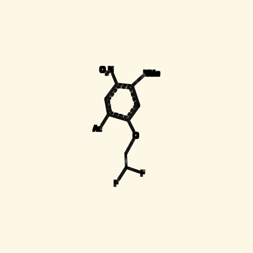 CNc1cc(OCC(F)F)c(C(C)=O)cc1[N+](=O)[O-]